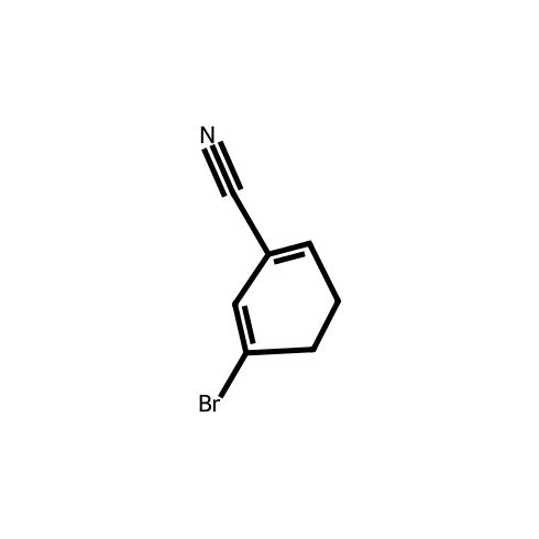 N#CC1=CCCC(Br)=C1